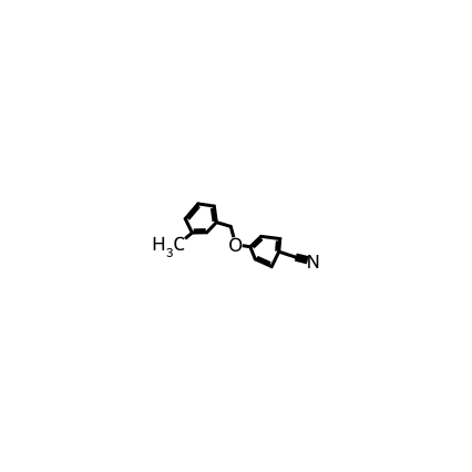 Cc1cccc(COc2ccc(C#N)cc2)c1